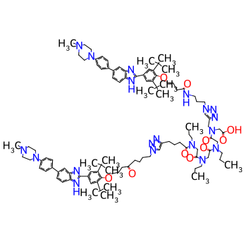 CCCN(CC(=O)N(CCC)CC(=O)N(CCC)CC(=O)N(CC(=O)O)Cc1cn(CCCNC(=O)CCCOc2c(C(C)(C)C)cc(-c3nc4cc(-c5ccc(N6CCN(C)CC6)cc5)ccc4[nH]3)cc2C(C)(C)C)nn1)C(=O)CCCc1cn(CCCCC(=O)CCCOc2c(C(C)(C)C)cc(-c3nc4cc(-c5ccc(N6CCN(C)CC6)cc5)ccc4[nH]3)cc2C(C)(C)C)nn1